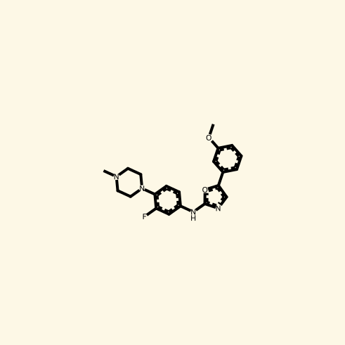 COc1cccc(-c2cnc(Nc3ccc(N4CCN(C)CC4)c(F)c3)o2)c1